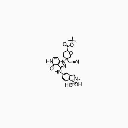 CN1Cc2cc(Nc3nn(C4(CC#N)CCC(C(=O)OC(C)(C)C)OC4)c4cc[nH]c(=O)c34)ccc2S1(O)O